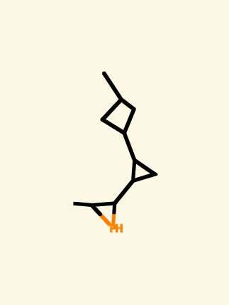 CC1CC(C2CC2C2PC2C)C1